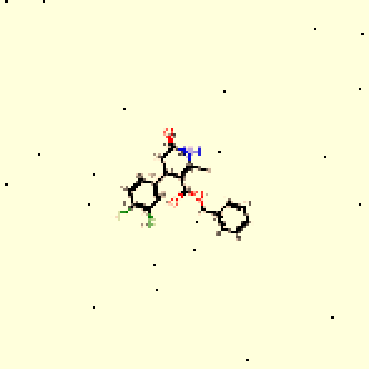 CC1=C(C(=O)OCc2ccccc2)C(c2ccc(F)c(F)c2)CC(=O)N1